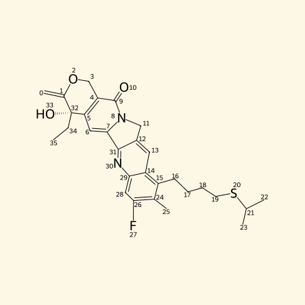 C=C1OCc2c(cc3n(c2=O)Cc2cc4c(CCCCSC(C)C)c(C)c(F)cc4nc2-3)[C@@]1(O)CC